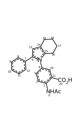 CC(=O)Nc1ccc(-n2c(-c3ccccc3)cc3c2CCCC3)cc1C(=O)O